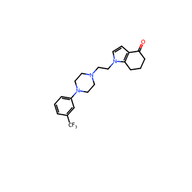 O=C1CCCc2c1ccn2CCN1CCN(c2cccc(C(F)(F)F)c2)CC1